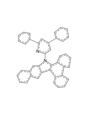 c1ccc(-c2cc(-c3ccccc3)nc(-n3c4cc5ccccc5cc4c4c5ccccc5c5ccccc5c43)c2)cc1